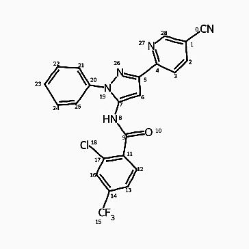 N#Cc1ccc(-c2cc(NC(=O)c3ccc(C(F)(F)F)cc3Cl)n(-c3ccccc3)n2)nc1